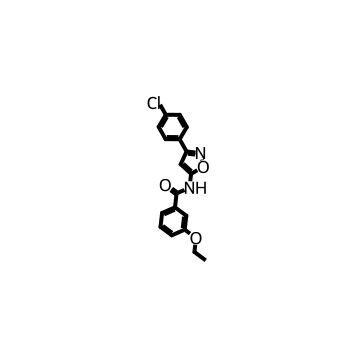 CCOc1cccc(C(=O)Nc2cc(-c3ccc(Cl)cc3)no2)c1